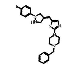 Ic1ccc(N2CC(=Cc3cnc(N4CCN(Cc5ccccc5)CC4)s3)CN2)cc1